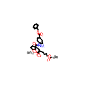 CCCCC(=O)OCCCCC(CC1(C(=O)NC2CCC(C(=O)OCc3ccccc3)CC2)CCCC1)C(=O)OC(C)(C)C